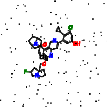 C=CC(=O)N1C2CCC1CC(c1cc(OCC34CCCN3CC(F)C4)nc3cc(-c4cc(O)cc(Cl)c4C4CC4)ncc13)C2